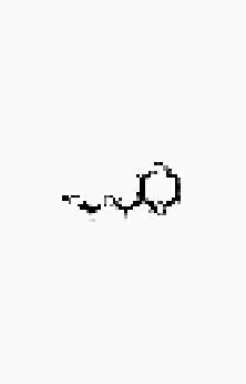 O=COCC1COCCO1